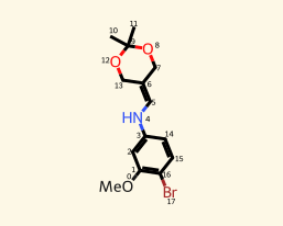 COc1cc(NC=C2COC(C)(C)OC2)ccc1Br